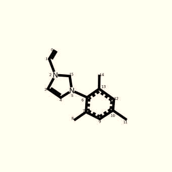 C=CN1C=CN(c2c(C)cc(C)cc2C)C1